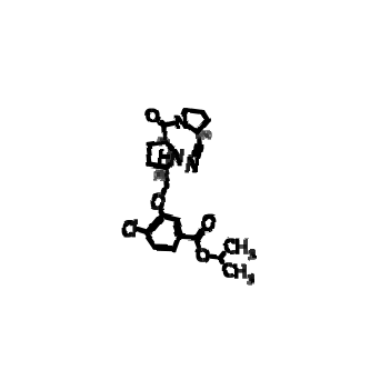 CC(C)OC(=O)c1ccc(Cl)c(OC[C@H]2CC[C@@H](C(=O)N3CCC[C@H]3C#N)N2)c1